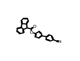 N#Cc1ccc(-c2ccc(OC(=O)C3c4ccccc4-c4ccccc43)cc2)cc1